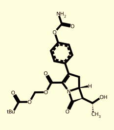 C[C@@H](O)[C@H]1C(=O)N2C(C(=O)OCOC(=O)C(C)(C)C)=C(c3ccc(OC(N)=O)cc3)C[C@H]12